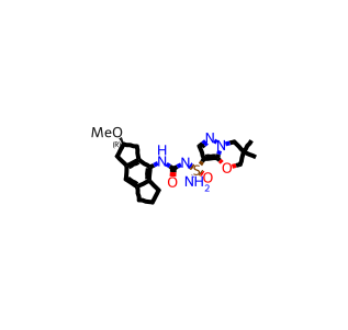 CO[C@@H]1Cc2cc3c(c(NC(=O)N=S(N)(=O)c4cnn5c4OCC(C)(C)C5)c2C1)CCC3